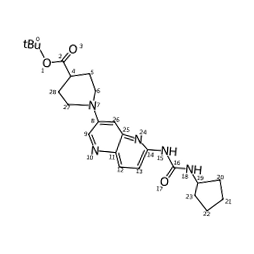 CC(C)(C)OC(=O)C1CCN(c2cnc3ccc(NC(=O)NC4CCCC4)nc3c2)CC1